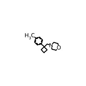 Cc1ccc(C2(CN3CCOCC3)CCC2)cc1